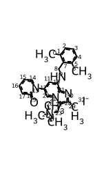 Cc1cccc(C)c1CNc1cc(-n2ccccc2=O)cn2c(C[N+](C)(C)C)c(C)nc12.[I-]